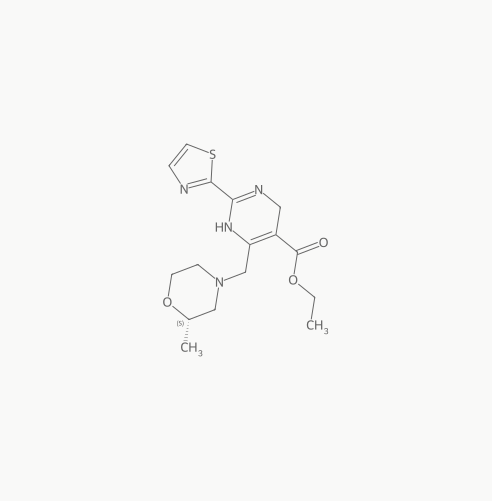 CCOC(=O)C1=C(CN2CCO[C@@H](C)C2)NC(c2nccs2)=NC1